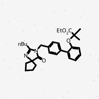 CCCCC1=NC2(CCCC2)C(=O)N1Cc1ccc(-c2ccccc2OC(C)(C)C(=O)OCC)cc1